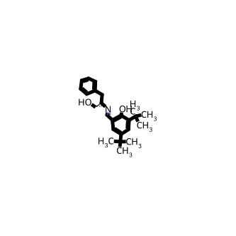 CC(C)(C)c1cc(/C=N/[C@H](CO)Cc2ccccc2)c(O)c(C(C)(C)C)c1